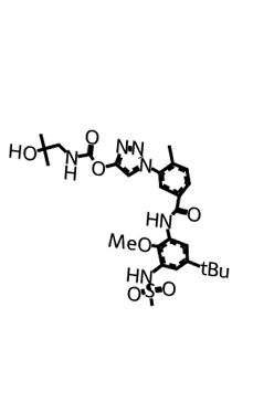 COc1c(NC(=O)c2ccc(C)c(-n3cc(OC(=O)NCC(C)(C)O)nn3)c2)cc(C(C)(C)C)cc1NS(C)(=O)=O